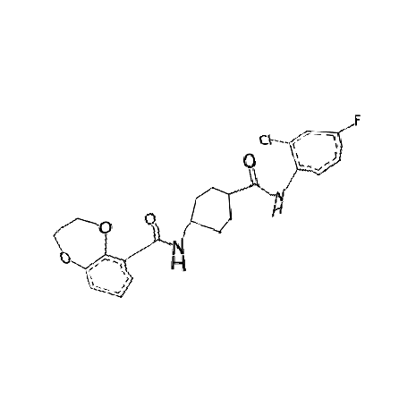 O=C(NC1CCC(C(=O)Nc2ccc(F)cc2Cl)CC1)c1cccc2c1OCCO2